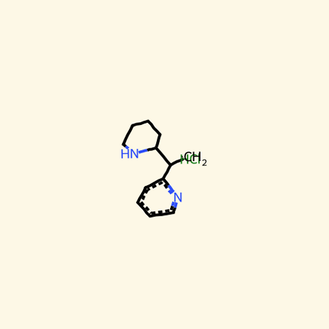 Cl.[CH2]C(c1ccccn1)C1CCCCN1